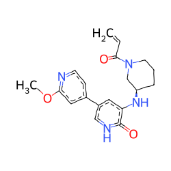 C=CC(=O)N1CCC[C@@H](Nc2cc(-c3ccnc(OC)c3)c[nH]c2=O)C1